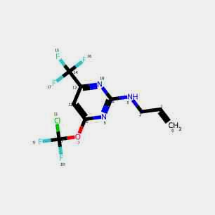 C=CCNc1nc(OC(F)(F)Cl)cc(C(F)(F)F)n1